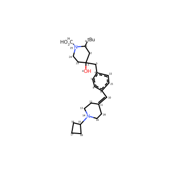 CC(C)(C)C1CC(O)(Cc2ccc(C=C3CCN(C4CCC4)CC3)cc2)CCN1C(=O)O